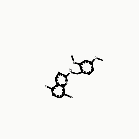 COc1ccc(CNc2ccc3c(F)ccc(Br)c3n2)c(OC)c1